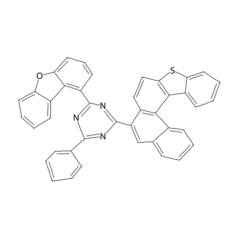 c1ccc(-c2nc(-c3cc4ccccc4c4c3ccc3sc5ccccc5c34)nc(-c3cccc4oc5ccccc5c34)n2)cc1